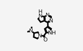 CN(C)C1CCN(C(=O)c2cc(-c3ncnc4c3CCN4)c[nH]2)C1